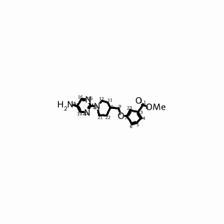 COC(=O)c1cccc(OCC2CCN(c3ncc(N)cn3)CC2)c1